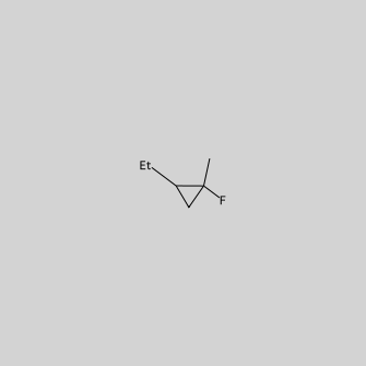 CCC1CC1(C)F